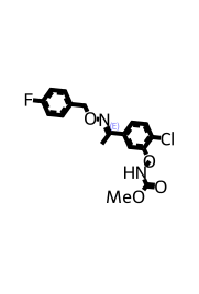 COC(=O)NOc1cc(/C(C)=N/OCc2ccc(F)cc2)ccc1Cl